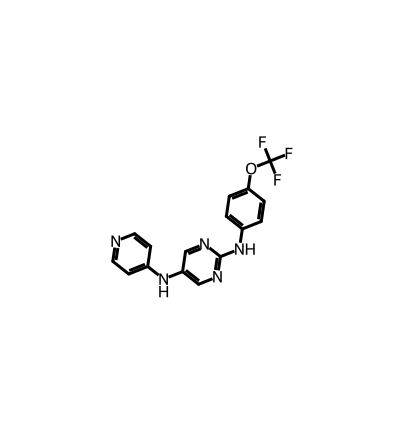 FC(F)(F)Oc1ccc(Nc2ncc(Nc3ccncc3)cn2)cc1